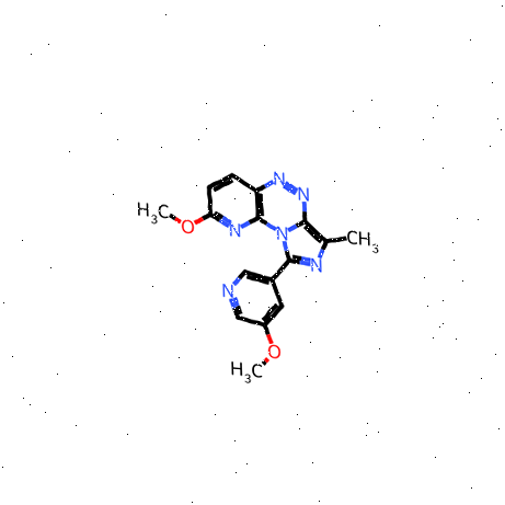 COc1cncc(-c2nc(C)c3nnc4ccc(OC)nc4n23)c1